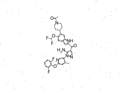 CC(=O)N1CCC(c2cc3[nH]c(C(=O)c4cnn(-c5cnc(Oc6c(F)cccc6F)cc5C)c4N)cc3cc2OC(F)F)CC1